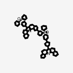 O=P(c1ccccc1)(c1ccccc1)c1ccc(-c2c3ccc4ccccc4c3nc3c2ccc2ccc(-c4cccc(P(=O)(c5ccccc5)c5ccc(-c6ccc(-c7c8ccc9ccccc9c8nc8c7ccc7ccccc78)cc6)cc5)c4)cc23)cc1